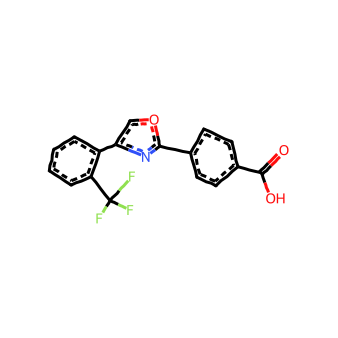 O=C(O)c1ccc(-c2nc(-c3ccccc3C(F)(F)F)co2)cc1